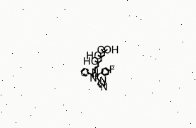 O=C(O)CC(O)CC(O)/C=C/n1c(-c2ccccc2)nc(-c2ccncn2)c1-c1ccc(F)cc1